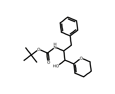 CC(C)(C)OC(=O)NC(Cc1ccccc1)C(O)C1=CCCCO1